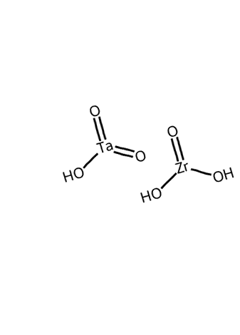 [O]=[Ta](=[O])[OH].[O]=[Zr]([OH])[OH]